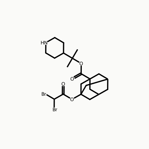 CC(C)(OC(=O)C12CC3CC(CC(OC(=O)C(Br)Br)(C3)C1)C2)C1CCNCC1